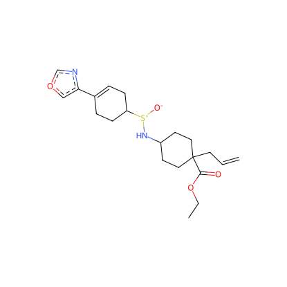 C=CCC1(C(=O)OCC)CCC(N[S+]([O-])C2CC=C(c3cocn3)CC2)CC1